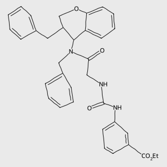 CCOC(=O)c1cccc(NC(=O)NCC(=O)N(Cc2ccccc2)C2c3ccccc3OCC2Cc2ccccc2)c1